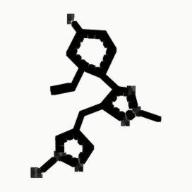 C=Cc1cc(F)ccc1-c1nn(C)nc1Cc1cnn(CC)c1